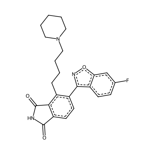 O=C1NC(=O)c2c1ccc(-c1noc3cc(F)ccc13)c2CCCCN1CCCCC1